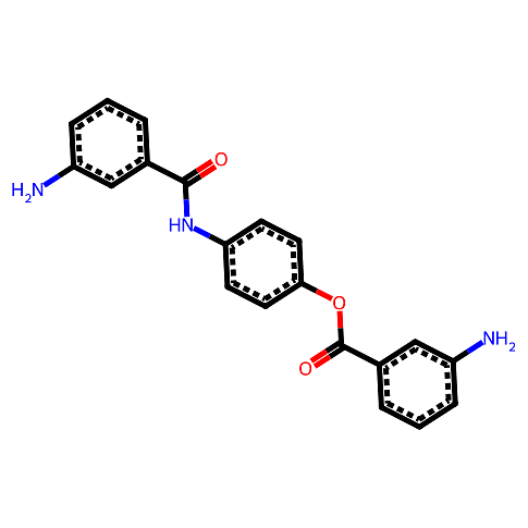 Nc1cccc(C(=O)Nc2ccc(OC(=O)c3cccc(N)c3)cc2)c1